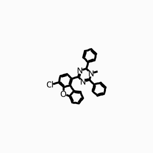 CN1C(c2ccccc2)=NC(c2ccc(Cl)c3oc4ccccc4c23)=NC1c1ccccc1